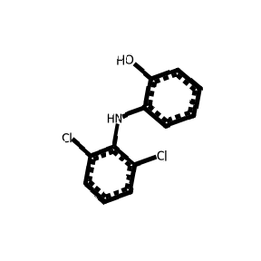 Oc1ccccc1Nc1c(Cl)cccc1Cl